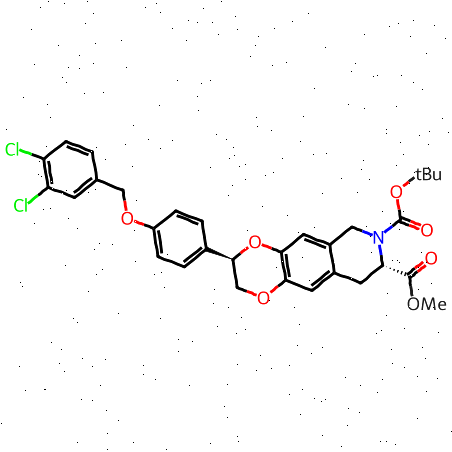 COC(=O)[C@@H]1Cc2cc3c(cc2CN1C(=O)OC(C)(C)C)O[C@H](c1ccc(OCc2ccc(Cl)c(Cl)c2)cc1)CO3